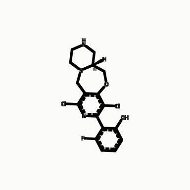 Oc1cccc(F)c1-c1nc(Cl)c2c(c1Cl)OC[C@H]1CNCCN1C2